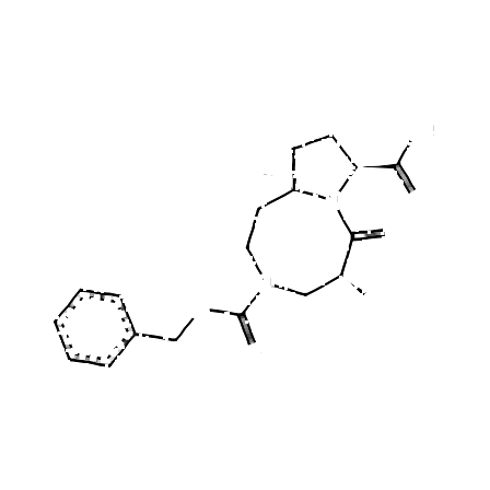 C[C@H]1CN(C(=O)OCc2ccccc2)CC[C@H]2CC[C@@H](C(=O)O)N2C1=O